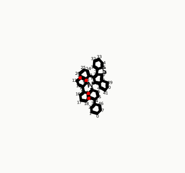 c1ccc(-c2ccc(N(c3ccccc3-c3ccccc3)c3c(-c4ccccc4)c4c5ccccc5sc4c4ccccc34)cc2)cc1